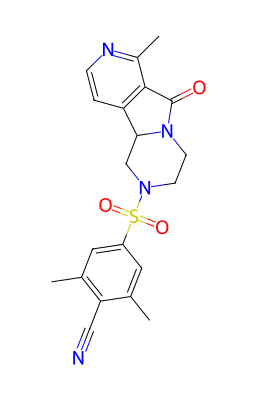 Cc1cc(S(=O)(=O)N2CCN3C(=O)c4c(ccnc4C)C3C2)cc(C)c1C#N